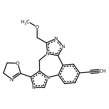 C#Cc1ccc2c(c1)-c1nnc(COC)n1Cc1c(C3=NCCO3)ncn1-2